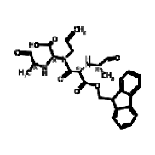 C=CCN(C(=O)[C@H](N[C@@H](C)C=O)C(=O)OCC1c2ccccc2-c2ccccc21)[C@@H](N[C@@H](C)C=O)C(=O)O